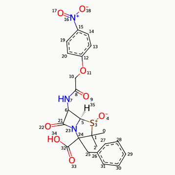 CC1(C)[S+]([O-])[C@@H]2C(NC(=O)COc3ccc([N+](=O)[O-])cc3)C(=O)N2C1(Cc1ccccc1)C(=O)O